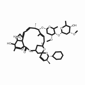 CO[C@@H]1C[C@H](O[C@H]2C(C)O[C@@H](O[C@@H]3/C(C)=C/C[C@@H]4C[C@@H](CC5(C=C[C@H](C)[C@@H](C6CCCCC6)O5)O4)OC(=O)[C@@H]4C=C(C)C(O)[C@H]5OC/C(=C\C=C\[C@@H]3C)[C@]54O)C[C@H]2OC)OC(C)[C@@H]1O